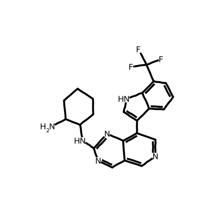 NC1CCCCC1Nc1ncc2cncc(-c3c[nH]c4c(C(F)(F)F)cccc34)c2n1